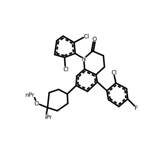 CCCOC1(C(C)C)CCC(c2cc(-c3ccc(F)cc3Cl)c3c(c2)N(c2c(Cl)cccc2Cl)C(=O)CC3)CC1